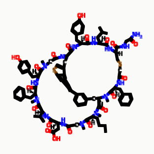 CCCC[C@H]1C(=O)N(C)CC(=O)N[C@@H](CC(=O)O)C(=O)N[C@@H](C(C)C)C(=O)N(C)[C@@H](Cc2ccccc2)C(=O)N[C@@H](Cc2ccc(O)cc2)C(=O)N(C)CC(=O)NC2Cc3csc4cc(ccc34)-c3cccc(c3)C[C@@H](C(=O)N1C)N(C)C(=O)[C@H](Cc1ccccc1)NC(=O)CSC[C@@H](C(=O)NCC(N)=O)NC(=O)[C@H](CC(C)C)NC(=O)[C@H](Cc1ccc(O)cc1)NC2=O